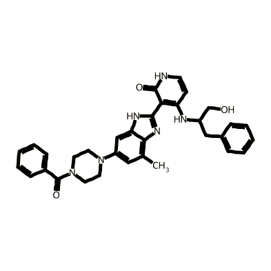 Cc1cc(N2CCN(C(=O)c3ccccc3)CC2)cc2[nH]c(-c3c(NC(CO)Cc4ccccc4)cc[nH]c3=O)nc12